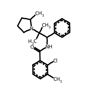 Cc1cccc(C(=O)NC(c2ccccc2)C(C)(C)N2CCCC2C)c1Cl